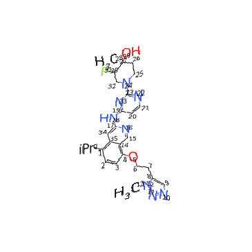 CC(C)c1ccc(OCCc2cnnn2C)c2cnc(Nc3ccnc(N4CC[C@](C)(O)[C@H](F)C4)n3)cc12